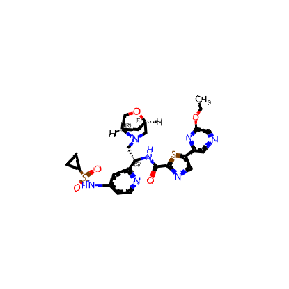 CCOc1cncc(-c2cnc(C(=O)N[C@@H](CN3C[C@H]4C[C@@H]3CO4)c3cc(NS(=O)(=O)C4CC4)ccn3)s2)n1